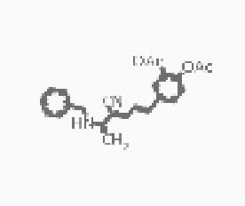 C=C(NCc1ccccc1)/C(C#N)=C/C=C/c1ccc(OC(C)=O)c(OC(C)=O)c1